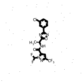 C[C@H](NC(=O)c1cc(C(F)(F)F)nn1C(F)F)c1nc(-c2cccc(Cl)c2)no1